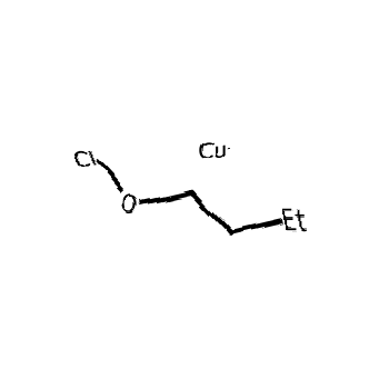 CCCCOCl.[Cu]